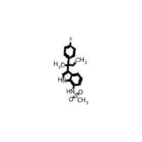 CCC(C)(c1ccc(F)cc1)c1c[nH]c2c(NS(C)(=O)=O)cccc12